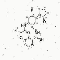 CCCC(Oc1cccc(C(=N)N)c1)C(=O)Nc1ccc(N2CCCC2=O)c(F)c1